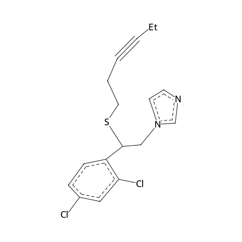 CCC#CCCSC(Cn1ccnc1)c1ccc(Cl)cc1Cl